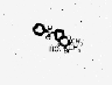 CC1(C)Oc2ccc(S(=O)(=O)c3ccccc3)cc2[C@@H](O)[C@@H]1Br